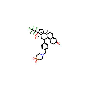 C[C@]12C[C@H](c3ccc(CN4CCS(=O)(=O)CC4)cc3)C3=C4CCC(=O)C=C4CC[C@H]3[C@@H]1CC[C@@]2(O)C(F)(F)C(F)(F)F